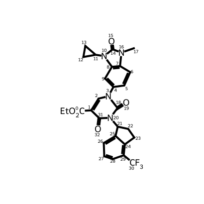 CCOC(=O)c1cn(-c2ccc3c(c2)n(C2CC2)c(=O)n3C)c(=O)n(C2CCc3c2cccc3C(F)(F)F)c1=O